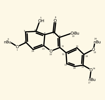 CCCCOc1cc(O)c2c(=O)c(OCC(C)C)c(-c3ccc(OCCCC)c(OCCCC)c3)oc2c1